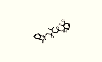 Cc1nn(CC(=O)N(CC(=O)Nc2cccc(Cl)c2F)C(C)C)c2ccccc12